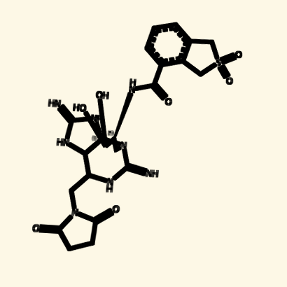 N=C1NC2C(CN3C(=O)CCC3=O)NC(=N)N3C[C@H](NC(=O)c4cccc5c4CS(=O)(=O)C5)C(O)(O)[C@]23N1